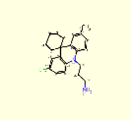 Cc1ccc2c(c1)C1(CCCCC1)c1cc(Cl)ccc1N2CCCN